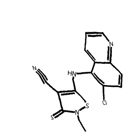 Cn1sc(Nc2c(Cl)ccc3ncccc23)c(C#N)c1=S